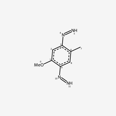 COc1cc(N=N)c(C)cc1N=N